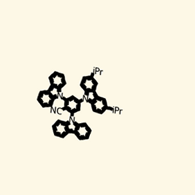 CC(C)c1ccc2c(c1)c1cc(C(C)C)ccc1n2-c1cc(-n2c3ccccc3c3ccccc32)c(C#N)c(-n2c3ccccc3c3ccccc32)c1